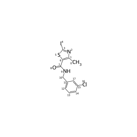 Cc1nc(I)sc1C(=O)NCc1cccc(Cl)c1